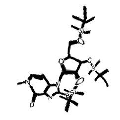 Cn1ccc2c(nc(Br)n2C2OC(CO[Si](C)(C)C(C)(C)C)C(O[Si](C)(C)C(C)(C)C)C2O[Si](C)(C)C(C)(C)C)c1=O